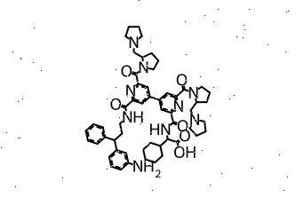 Nc1cccc(C(CCNC(=O)c2cc(-c3cc(C(=O)NC(C(=O)O)C4CCCCC4)nc(C(=O)N4CCCC4CN4CCCC4)c3)cc(C(=O)N3CCCC3CN3CCCC3)n2)c2ccccc2)c1